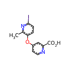 Cc1nc(I)ccc1Oc1ccnc(C(=O)O)c1